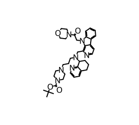 CC(C)(C)OC(=O)N1CCN(CCCN(Cc2nccc3c4ccccc4n(CC(=O)N4CCOCC4)c23)C2CCCc3cccnc32)CC1